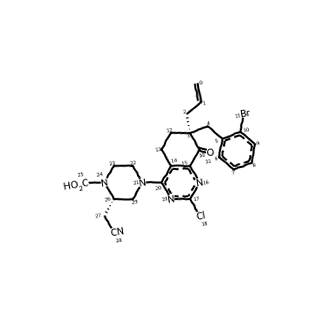 C=CC[C@@]1(Cc2ccccc2Br)CCc2c(nc(Cl)nc2N2CCN(C(=O)O)[C@@H](CC#N)C2)C1=O